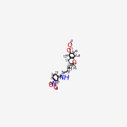 COCOc1c(C)c(C)c2c(c1C)CCC(C)(CCCCNc1cccc([N+](=O)[O-])c1)O2